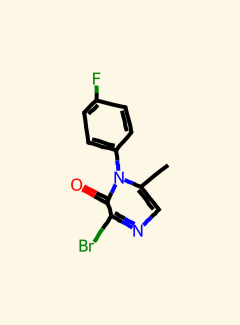 Cc1cnc(Br)c(=O)n1-c1ccc(F)cc1